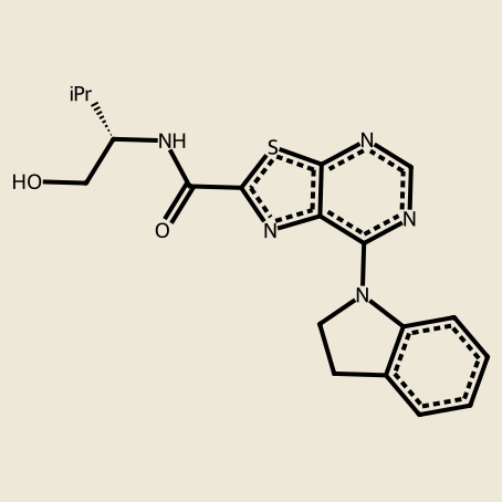 CC(C)[C@@H](CO)NC(=O)c1nc2c(N3CCc4ccccc43)ncnc2s1